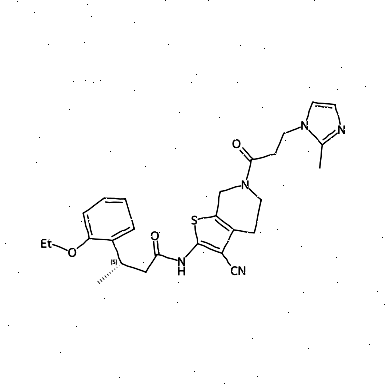 CCOc1ccccc1[C@@H](C)CC(=O)Nc1sc2c(c1C#N)CCN(C(=O)CCn1ccnc1C)C2